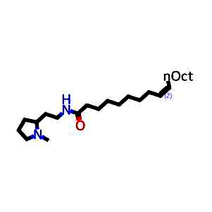 CCCCCCCC/C=C\CCCCCCCC(=O)NCCC1CCCN1C